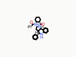 CC(C)C(=O)N[C@@H]1CCCC[C@@H]1C(=O)N1CC[C@H]2[C@H](c3ccccc3)Nc3ccccc3[C@@H]21